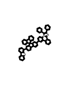 c1ccc(-c2nc3c4ccccc4c4cc(-c5ccc6c(c5)C5(c7ccccc7-c7ccccc75)c5cc(-c7cccc8c7sc7ccccc78)ccc5-6)ccc4n3c2-c2ccccc2)cc1